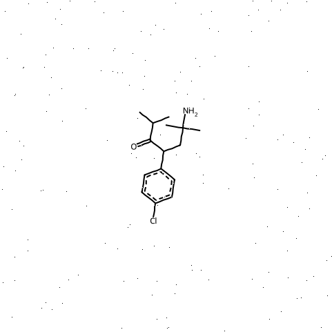 CC(C)C(=O)C(CC(C)(C)N)c1ccc(Cl)cc1